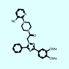 COc1ccc(-c2nc(-c3ccccc3)n(CC(=O)N3CCN(c4ncccc4C#N)CC3)n2)cc1OC